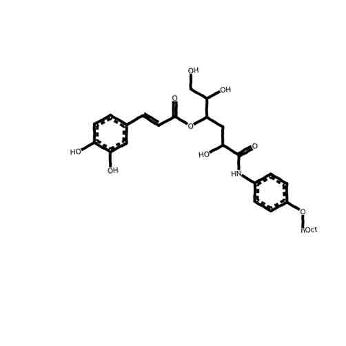 CCCCCCCCOc1ccc(NC(=O)C(O)CC(OC(=O)/C=C/c2ccc(O)c(O)c2)C(O)CO)cc1